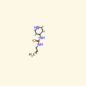 C=CCNC(=O)NC1CCNCC1